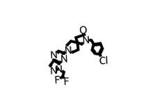 O=C1CC2(CCN(c3cnc4cnn(CC(F)F)c4n3)CC2)CN1Cc1ccc(Cl)cc1